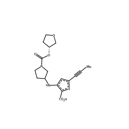 CC(C)(C)C#Cc1cc(NC2CCN(C(=O)O[C@@H]3CCOC3)C2)c(C(=O)O)s1